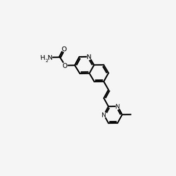 Cc1ccnc(C=Cc2ccc3ncc(OC(N)=O)cc3c2)n1